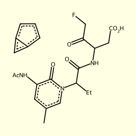 CCC(C(=O)NC(CC(=O)O)C(=O)CF)n1cc(C)cc(NC(C)=O)c1=O.c1cc2cc-2c1